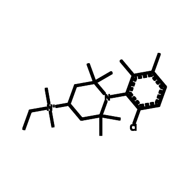 CC[N+](C)(C)C1CC(C)(C)N(c2c(Cl)ccc(C)c2C)C(C)(C)C1